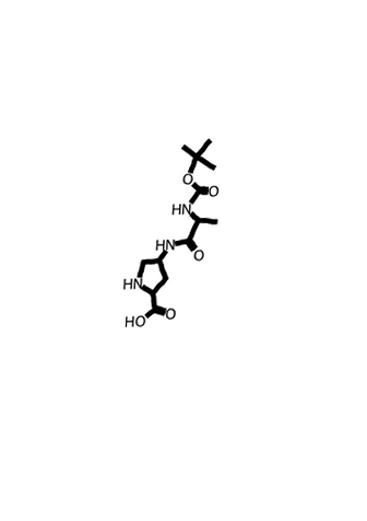 CC(NC(=O)OC(C)(C)C)C(=O)NC1CNC(C(=O)O)C1